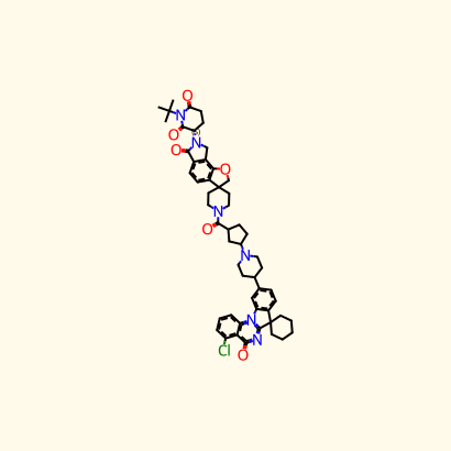 CC(C)(C)N1C(=O)CC[C@H](N2Cc3c(ccc4c3OCC43CCN(C(=O)C4CCC(N5CCC(c6ccc7c(c6)-n6c(nc(=O)c8c(Cl)cccc86)C76CCCCC6)CC5)C4)CC3)C2=O)C1=O